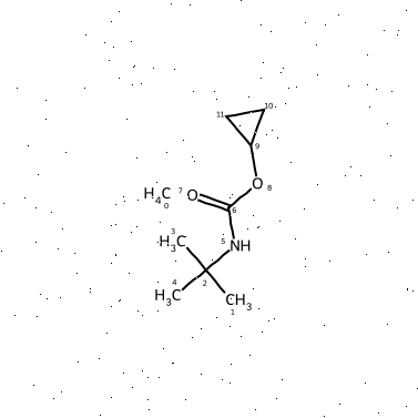 C.CC(C)(C)NC(=O)OC1CC1